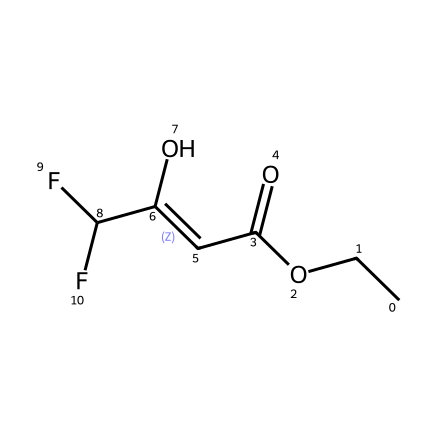 CCOC(=O)/C=C(\O)C(F)F